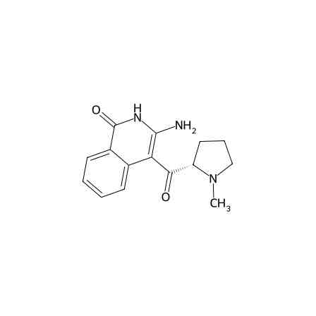 CN1CCC[C@H]1C(=O)c1c(N)[nH]c(=O)c2ccccc12